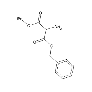 CC(C)OC(=O)C(N)C(=O)OCc1ccccc1